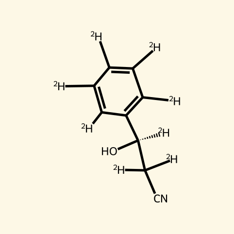 [2H]c1c([2H])c([2H])c([C@]([2H])(O)C([2H])([2H])C#N)c([2H])c1[2H]